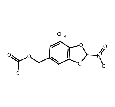 C.O=C(Cl)OCc1ccc2c(c1)OC([N+](=O)[O-])O2